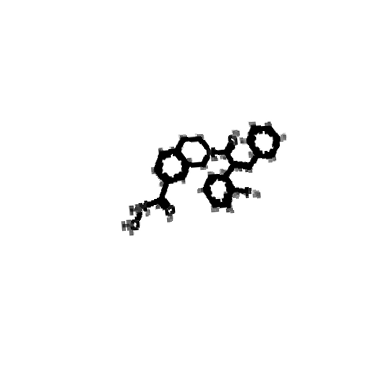 O=C(NO)c1ccc2c(c1)CN(C(=O)C(=Cc1ccccc1)c1ccccc1F)CC2